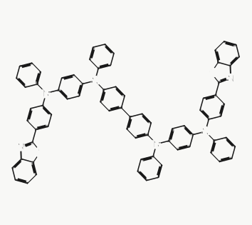 c1ccc(N(c2ccc(-c3ccc(N(c4ccccc4)c4ccc(N(c5ccccc5)c5ccc(-c6nc7ccccc7s6)cc5)cc4)cc3)cc2)c2ccc(N(c3ccccc3)c3ccc(-c4nc5ccccc5s4)cc3)cc2)cc1